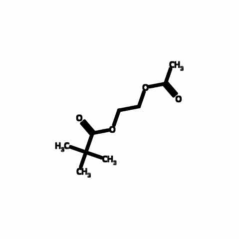 CC(=O)OCCOC(=O)C(C)(C)C